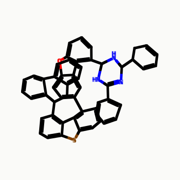 C1=CCC(C2N=C(c3ccccc3)NC(c3cccc4oc5ccc(-c6cccc7sc8cccc(C9Cc%10ccccc%10-c%10ccccc%109)c8c67)cc5c34)N2)C=C1